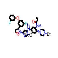 C=CC(=O)Nc1cc(Nc2cc(N3OCCC3c3cc(F)cc(Oc4cccc(F)c4)c3)ncn2)c(OC)cc1N1CCN(CC)CC1